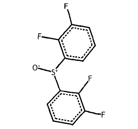 [O-][S+](c1cccc(F)c1F)c1cccc(F)c1F